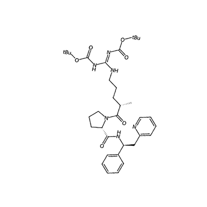 C[C@@H](CCCN/C(=N\C(=O)OC(C)(C)C)NC(=O)OC(C)(C)C)C(=O)N1CCC[C@H]1C(=O)N[C@@H](Cc1ccccn1)c1ccccc1